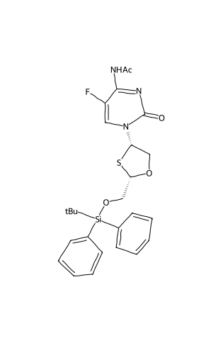 CC(=O)Nc1nc(=O)n([C@@H]2CO[C@H](CO[Si](c3ccccc3)(c3ccccc3)C(C)(C)C)S2)cc1F